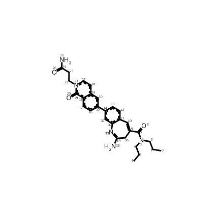 CCCN(CCC)C(=O)C1=Cc2ccc(-c3ccc4c(=O)n(CCC(N)=O)ccc4c3)cc2N=C(N)C1